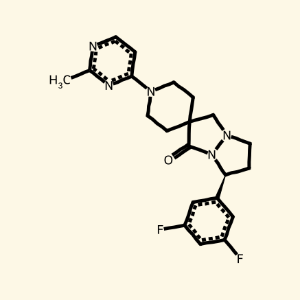 Cc1nccc(N2CCC3(CC2)CN2CC[C@@H](c4cc(F)cc(F)c4)N2C3=O)n1